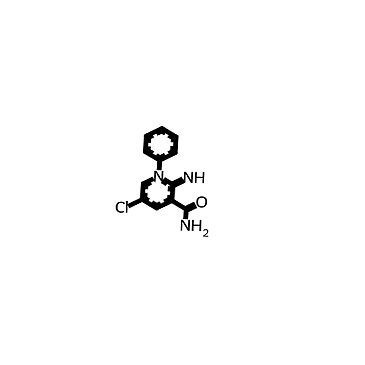 N=c1c(C(N)=O)cc(Cl)cn1-c1ccccc1